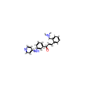 CN(C)Cc1ccccc1C=CC(=O)c1cccc(Nc2ccncc2)c1